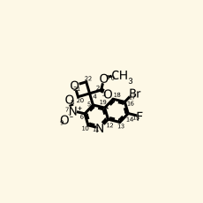 COC(=O)C1(c2c([N+](=O)[O-])cnc3cc(F)c(Br)cc23)COC1